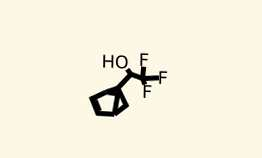 OC(C1CC2C=CC1C2)C(F)(F)F